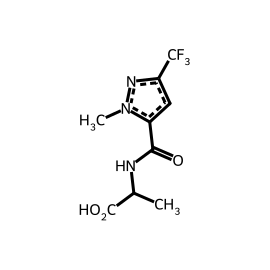 CC(NC(=O)c1cc(C(F)(F)F)nn1C)C(=O)O